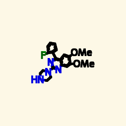 COc1cc2nc(N3CCNCC3)nc(-c3ccccc3F)c2cc1OC